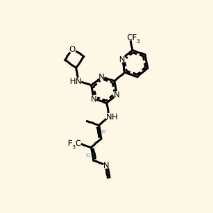 C=N/C=C(\C=C(/C)Nc1nc(NC2COC2)nc(-c2cccc(C(F)(F)F)n2)n1)C(F)(F)F